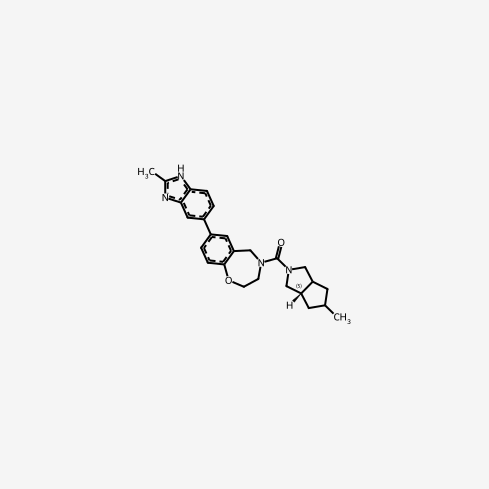 Cc1nc2cc(-c3ccc4c(c3)CN(C(=O)N3CC5CC(C)C[C@@H]5C3)CCO4)ccc2[nH]1